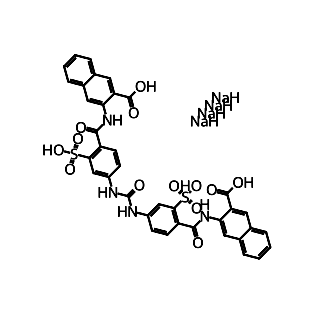 O=C(Nc1ccc(C(=O)Nc2cc3ccccc3cc2C(=O)O)c(S(=O)(=O)O)c1)Nc1ccc(C(=O)Nc2cc3ccccc3cc2C(=O)O)c(S(=O)(=O)O)c1.[NaH].[NaH].[NaH].[NaH]